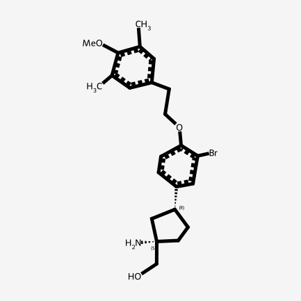 COc1c(C)cc(CCOc2ccc([C@@H]3CC[C@@](N)(CO)C3)cc2Br)cc1C